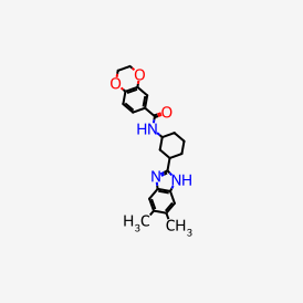 Cc1cc2nc(C3CCCC(NC(=O)c4ccc5c(c4)OCCO5)C3)[nH]c2cc1C